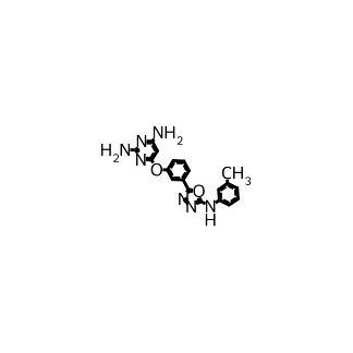 Cc1cccc(Nc2nnc(-c3cccc(Oc4cc(N)nc(N)n4)c3)o2)c1